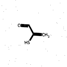 C=C(S)C=O